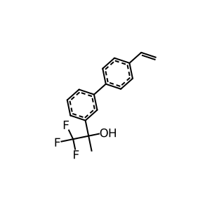 C=Cc1ccc(-c2cccc(C(C)(O)C(F)(F)F)c2)cc1